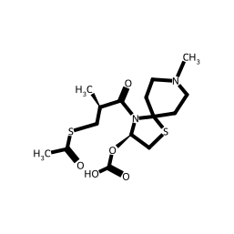 CC(=O)SC[C@@H](C)C(=O)N1[C@H](OC(=O)O)CSC12CCN(C)CC2